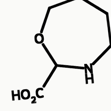 O=C(O)C1NCCCCO1